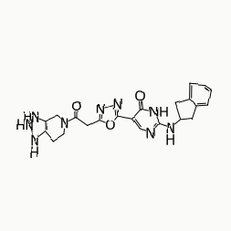 O=C(Cc1nnc(-c2cnc(NC3Cc4ccccc4C3)[nH]c2=O)o1)N1CCC2=C(C1)NNN2